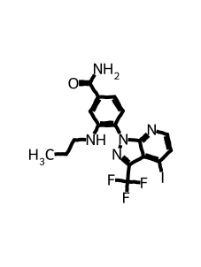 CCCNc1cc(C(N)=O)ccc1-n1nc(C(F)(F)F)c2c(I)ccnc21